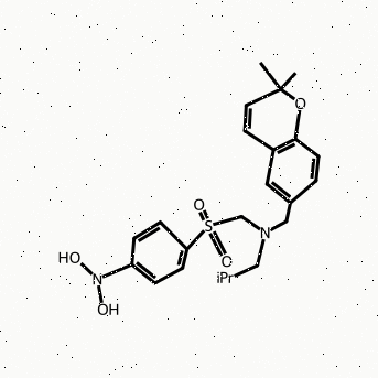 CC(C)CN(Cc1ccc2c(c1)C=CC(C)(C)O2)CS(=O)(=O)c1ccc(N(O)O)cc1